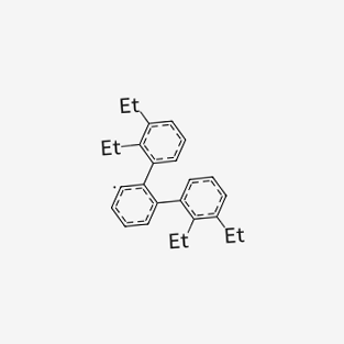 CCc1cccc(-c2[c]cccc2-c2cccc(CC)c2CC)c1CC